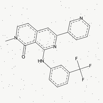 Cn1ccc2cc(-c3cccnc3)nc(Nc3cccc(C(F)(F)F)c3)c2c1=O